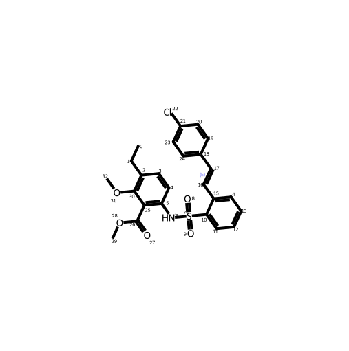 CCc1ccc(NS(=O)(=O)c2ccccc2/C=C/c2ccc(Cl)cc2)c(C(=O)OC)c1OC